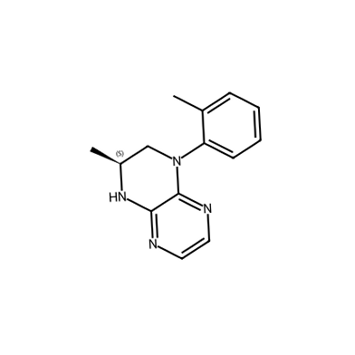 Cc1ccccc1N1C[C@H](C)Nc2nccnc21